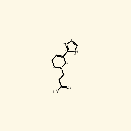 O=C(O)CCN1CCC=C(c2nnn[nH]2)C1